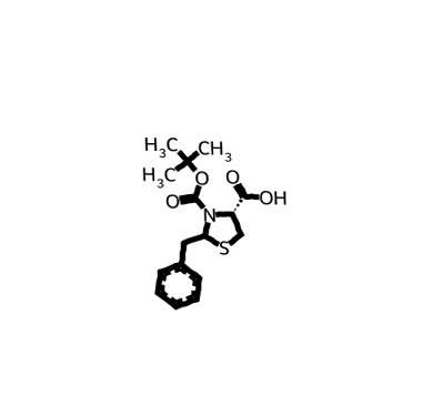 CC(C)(C)OC(=O)N1C(Cc2ccccc2)SC[C@H]1C(=O)O